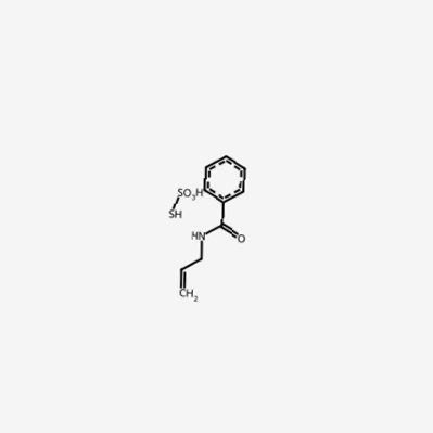 C=CCNC(=O)c1ccccc1.O=S(=O)(O)S